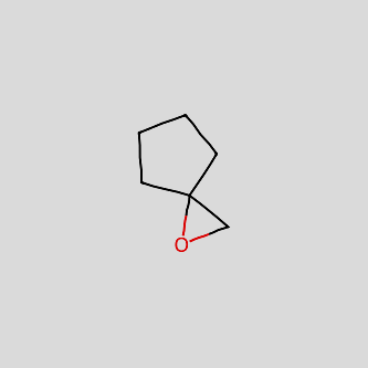 C1CCC2(C1)CO2